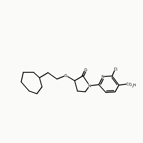 O=C(O)c1ccc(N2CCC(OCCC3CCCCCC3)C2=O)nc1Cl